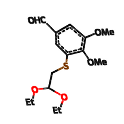 CCOC(CSc1cc(C=O)cc(OC)c1OC)OCC